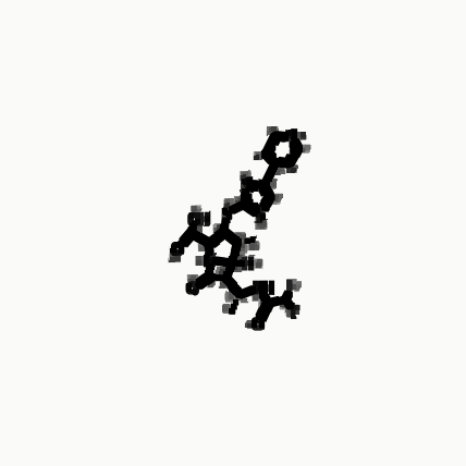 C[C@@H](NC(=O)C(F)F)[C@H]1C(=O)N2C(C(=O)O)=C(Sc3nc(-c4ccncc4)cs3)[C@H](C)[C@H]12